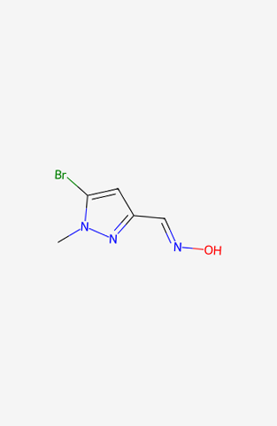 Cn1nc(/C=N/O)cc1Br